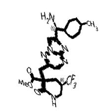 COC(=O)C1(Cc2cnc3nc([C@@H](N)C4CCC(C)CC4)cn3n2)C[C@@H](C(F)(F)F)CNC1=O